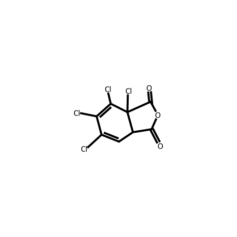 O=C1OC(=O)C2(Cl)C(Cl)=C(Cl)C(Cl)=CC12